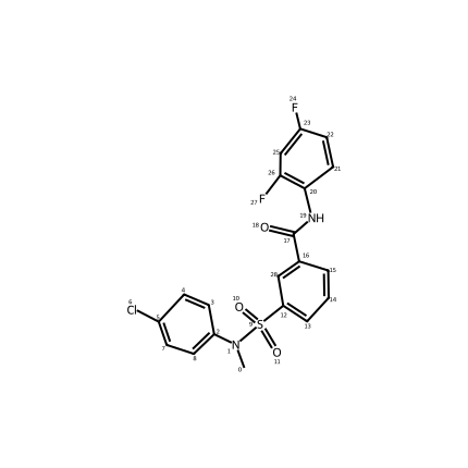 CN(c1ccc(Cl)cc1)S(=O)(=O)c1cccc(C(=O)Nc2ccc(F)cc2F)c1